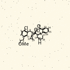 COCCc1ccc(Cl)c(CN(C(=O)C2CNCC[C@@]23OC(=O)c2ccccc23)C2CC2)c1